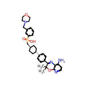 CC1(C)Oc2nccc(N)c2N=C1c1ccc([C@H]2CC[C@H](CP(=O)(O)c3cccc(CN4CCOCC4)c3)CC2)cc1